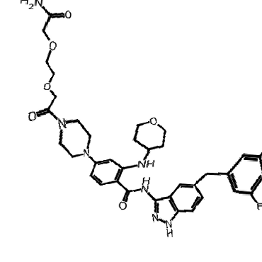 NC(=O)COCCOCC(=O)N1CCN(c2ccc(C(=O)Nc3n[nH]c4ccc(Cc5cc(F)cc(F)c5)cc34)c(NC3CCOCC3)c2)CC1